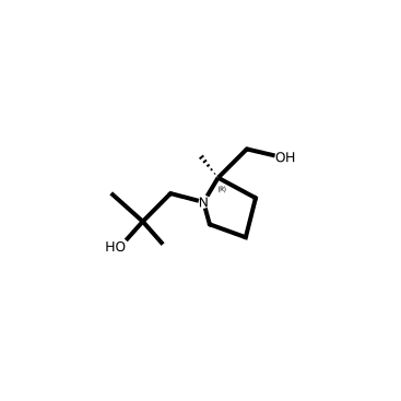 CC(C)(O)CN1CCC[C@]1(C)CO